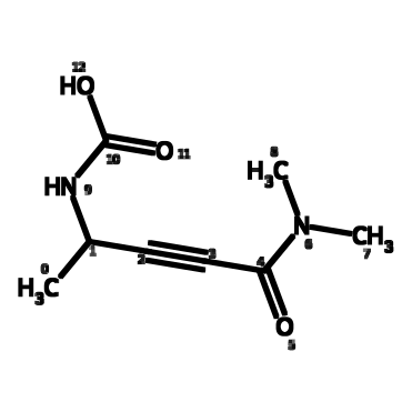 CC(C#CC(=O)N(C)C)NC(=O)O